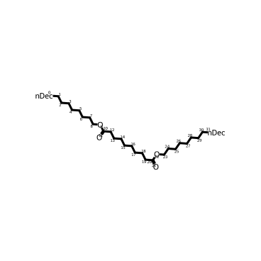 CCCCCCCCCCCCCCCCCCOC(=O)CCCCCCCCC(=O)OCCCCCCCCCCCCCCCCCC